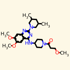 COCCC(=O)N1CCC(Nc2nc(N3CC(C)CC(C)C3)nc3cc(OC)c(OC)cc23)CC1